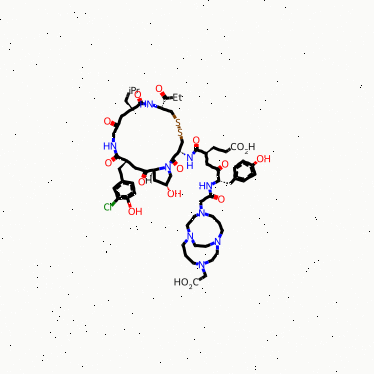 CCC(=O)[C@@H]1CSSC[C@H](NC(=O)[C@@H](CCC(=O)O)CC(=O)[C@H](Cc2ccc(O)cc2)NC(=O)CN2CCCN3CCN(CCCN(CC(=O)O)CC3)CC2)C(=O)N2C[C@H](O)C[C@H]2C(=O)C[C@@H](Cc2ccc(O)c(Cl)c2)C(=O)NCC(=O)C[C@@H](CC(C)C)C(=O)N1